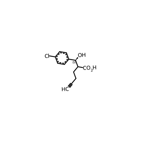 C#CCCC(C(=O)O)[C@H](O)c1ccc(Cl)cc1